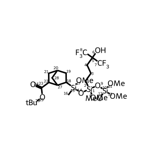 CO[Si](CCCC(O)(C(F)(F)F)C(F)(F)F)(O[Si](OC)(OC)OC)O[Si](C)(OC)C1CC2CC(C(=O)OC(C)(C)C)C1C2